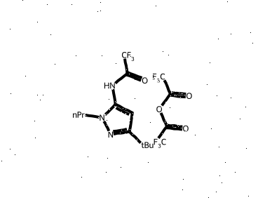 CCCn1nc(C(C)(C)C)cc1NC(=O)C(F)(F)F.O=C(OC(=O)C(F)(F)F)C(F)(F)F